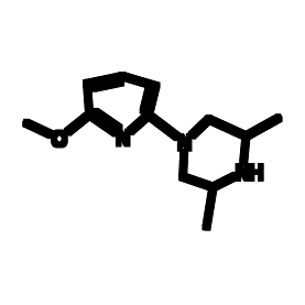 COc1cccc(N2CC(C)NC(C)C2)n1